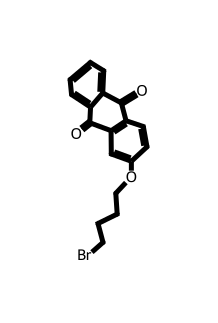 O=C1c2ccccc2C(=O)c2cc(OCCCCBr)ccc21